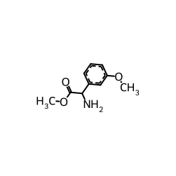 COC(=O)C(N)c1cccc(OC)c1